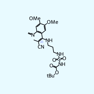 C=Nc1cc(OC)c(OC)cc1/C(NCCCNS(=O)(=O)NC(=O)OC(C)(C)C)=C(\C)C#N